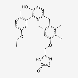 CCOc1ccc(C)c(-c2nc(Cc3c(C)cc(OCc4noc(=O)[nH]4)c(F)c3C)ccc2O)c1